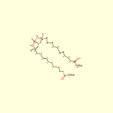 COC(=O)CCCCCCCCCC[Si](C)(C)O[Si](C)(C)O[Si](C)(C)CCCCCCCCCCC(=O)OC